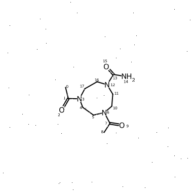 CC(=O)N1CCN(C(C)=O)CCN(C(N)=O)CC1